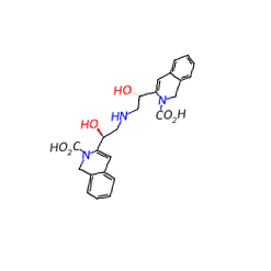 O=C(O)N1Cc2ccccc2C=C1[C@@H](O)CNC[C@H](O)C1=Cc2ccccc2CN1C(=O)O